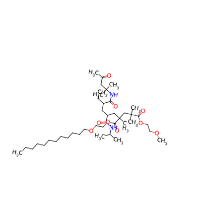 CCCCCCCCCCCCOCCOC(=O)C(C)(CC(CC(CC)C(=O)NC(C)(C)CC(C)=O)C(=O)NC(C)C)CC(C)(C)C(=O)OCCOC